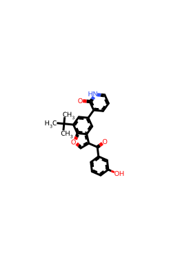 CC(C)(C)c1cc(-c2ccc[nH]c2=O)cc2c(C(=O)c3cccc(O)c3)coc12